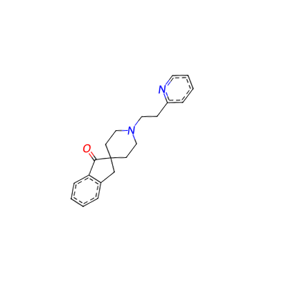 O=C1c2ccccc2CC12CCN(CCc1ccccn1)CC2